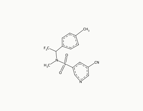 Cc1ccc(C(N(C)S(=O)(=O)c2cncc(C#N)c2)C(F)(F)F)cc1